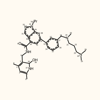 CC1=CC(C)=C(CNC(=O)c2cc(-c3cccc(CN(C)CCCN(C)C)c3)nc3c2cnn3C(C)C)C(O)N1